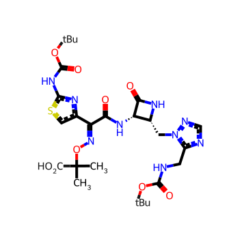 CC(C)(C)OC(=O)NCc1ncnn1C[C@H]1NC(=O)[C@H]1NC(=O)C(=NOC(C)(C)C(=O)O)c1csc(NC(=O)OC(C)(C)C)n1